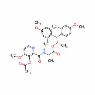 COc1ccc(C(c2ccc(OC)cc2C)[C@H](C)OC(=O)[C@H](C)NC(=O)c2nccc(OC)c2OC(C)=O)c(C)c1